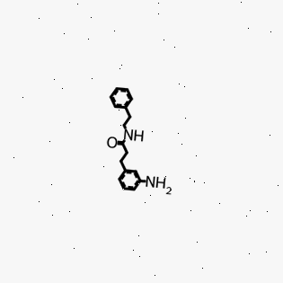 Nc1cccc(CCC(=O)NCCc2ccccc2)c1